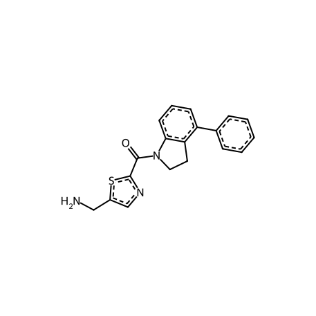 NCc1cnc(C(=O)N2CCc3c(-c4ccccc4)cccc32)s1